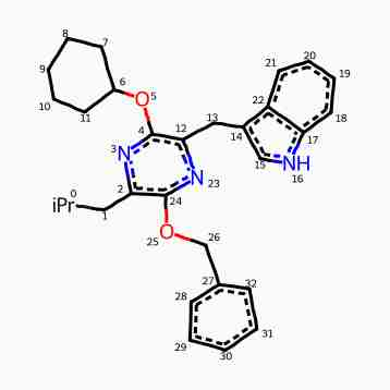 CC(C)Cc1nc(OC2CCCCC2)c(Cc2c[nH]c3ccccc23)nc1OCc1ccccc1